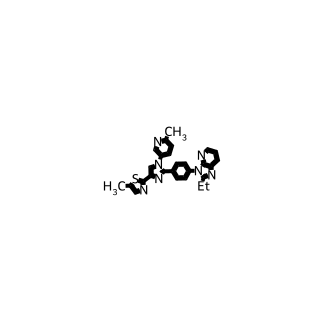 CCc1nc2cccnc2n1-c1ccc(-c2nc(-c3ncc(C)s3)cn2-c2ccc(C)nc2)cc1